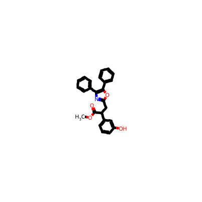 COC(=O)C(Cc1nc(-c2ccccc2)c(-c2ccccc2)o1)c1cccc(O)c1